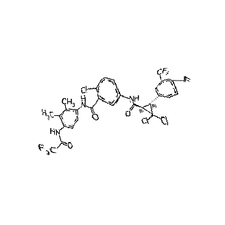 Cc1c(NC(=O)c2cc(NC(=O)[C@H]3[C@H](c4ccc(F)c(C(F)(F)F)c4)C3(Cl)Cl)ccc2Cl)ccc(NC(=O)C(F)(F)F)c1C